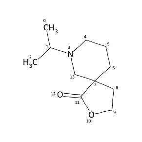 CC(C)N1CCCC2(CCOC2=O)C1